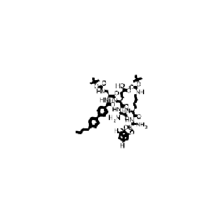 CCCCc1ccc(-c2ccc(C(=O)N[C@@H](CNC(=O)OC(C)(C)C)C(=O)N[C@@H](CCC(=O)O)C(=O)N[C@@H](N)C(=O)N[C@@H](CCCCNC(=O)OC(C)(C)C)C(=O)N[C@@H](N)B3OC4C[C@@H]5C[C@@H](C5(C)C)[C@]4(C)O3)cc2)cc1